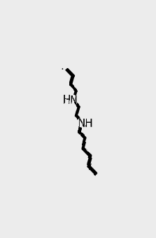 [CH2]CCCNCCNCCCCCC